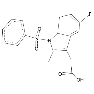 CC1=C(CC(=O)O)C2=CC(F)=CCC2N1S(=O)(=O)c1ccccc1